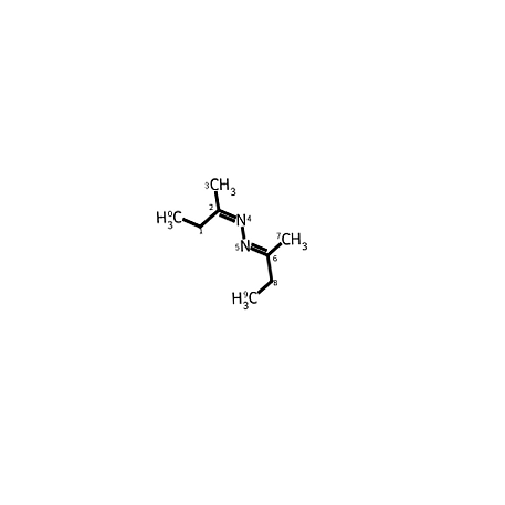 CC/C(C)=N\N=C(/C)CC